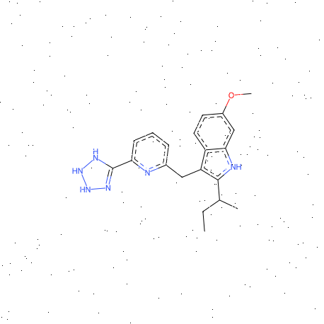 CCC(C)c1[nH]c2cc(OC)ccc2c1Cc1cccc(C2=NNNN2)n1